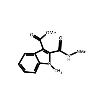 CNNC(=O)c1c(C(=O)OC)c2ccccc2n1C